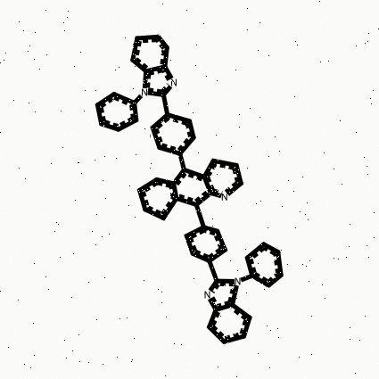 c1ccc(-n2c(-c3ccc(-c4c5ccccc5c(-c5ccc(-c6nc7ccccc7n6-c6ccccc6)cc5)c5ncccc45)cc3)nc3ccccc32)cc1